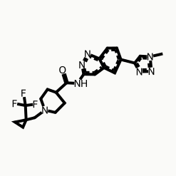 Cn1cc(-c2ccc3nnc(NC(=O)C4CCN(CC5(C(F)(F)F)CC5)CC4)cc3c2)nn1